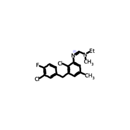 CCN(C)/C=N\c1cc(C)cc(Cc2ccc(F)c(Cl)c2)c1Cl